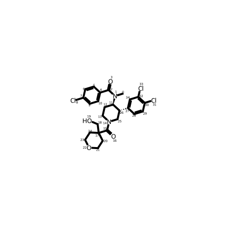 CN(C(=O)c1ccc(Cl)cc1)[C@@H]1CCN(C(=O)C2(CO)CCOCC2)C[C@H]1c1ccc(Cl)c(Cl)c1